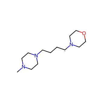 CN1CCN(CCC[CH]N2CCOCC2)CC1